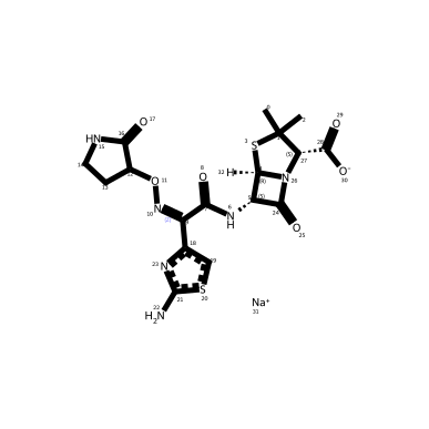 CC1(C)S[C@@H]2[C@@H](NC(=O)/C(=N\OC3CCNC3=O)c3csc(N)n3)C(=O)N2[C@H]1C(=O)[O-].[Na+]